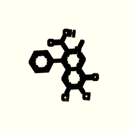 Cn1cc2c(=O)c(Cl)c(Cl)cc-2c(-c2ccccc2)c1C(=O)O